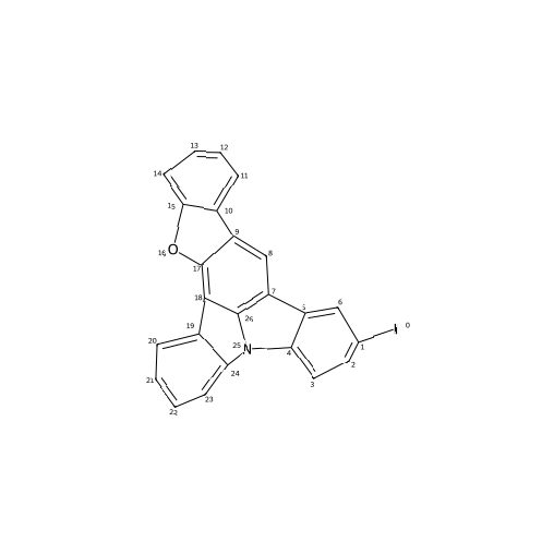 Ic1ccc2c(c1)c1cc3c4ccccc4oc3c3c4ccccc4n2c13